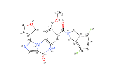 COCc1cc2c(cc1C(=O)N1Cc3c(F)ccc(F)c3C1)[nH]c(=O)c1cnc(C3CCOC3)n12